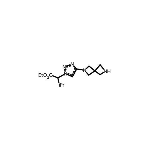 CCOC(=O)C(C(C)C)n1cc(N2CC3(CNC3)C2)nn1